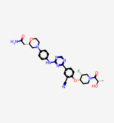 C[C@H](O)C(=O)N1CC[C@H](Oc2ccc(-c3ncnc(Nc4ccc(N5CCO[C@@H](CC(N)=O)C5)cc4)n3)cc2C#N)[C@H](F)C1